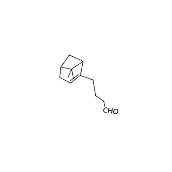 CC1(C)C2CC=C(CCCC=O)C1C2